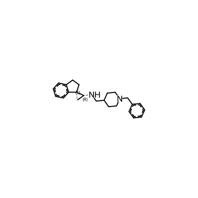 c1ccc(CN2CCC(CN[C@@H]3C[C@]34CCc3ccccc34)CC2)cc1